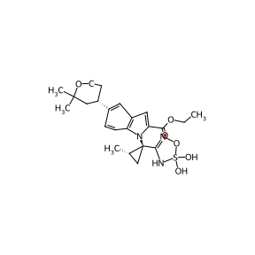 CCOC(=O)c1cc2cc([C@H]3CCOC(C)(C)C3)ccc2n1[C@@]1(C2=NOS(O)(O)N2)C[C@@H]1C